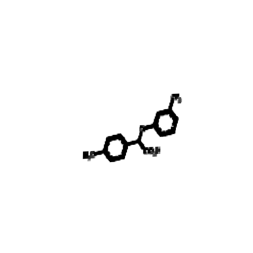 Cc1ccc(C(Oc2cccc(C(F)(F)F)c2)C(=O)O)cc1